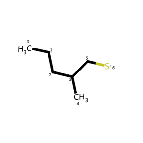 C[CH]CC(C)C[S]